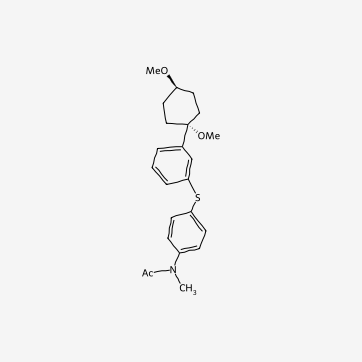 CO[C@H]1CC[C@@](OC)(c2cccc(Sc3ccc(N(C)C(C)=O)cc3)c2)CC1